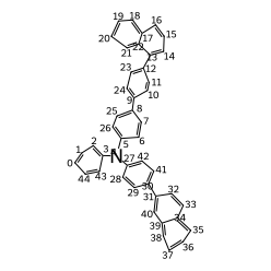 c1ccc(N(c2ccc(-c3ccc(-c4cccc5ccccc45)cc3)cc2)c2ccc(-c3ccc4ccccc4c3)cc2)cc1